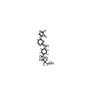 Cc1ncc(-c2ccnc(Nc3ccc(S(=O)(=O)NC(C)(C)CO)cc3)n2)n1C